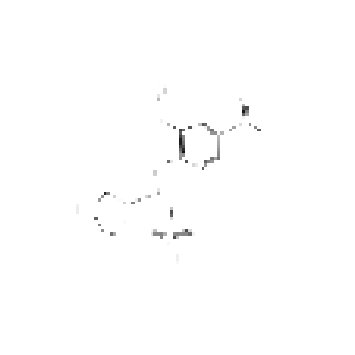 COc1cc([N+](=O)[O-])ccc1O[C@H](CS(C)(=O)=O)[C@@H]1CCNC1